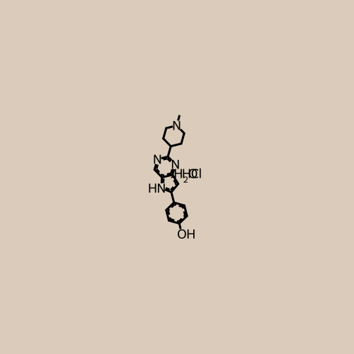 CN1CCC(c2ncc3[nH]c(-c4ccc(O)cc4)cc3n2)CC1.Cl.O